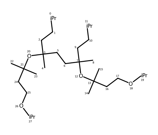 CC(C)CCC(C)(CCC(C)(CCC(C)C)OC(C)(C)CCOC(C)C)OC(C)(C)CCOC(C)C